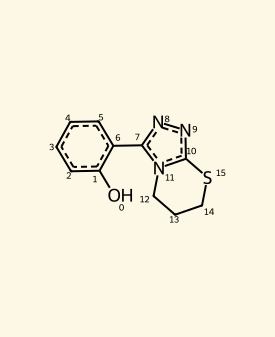 Oc1ccccc1-c1nnc2n1CCCS2